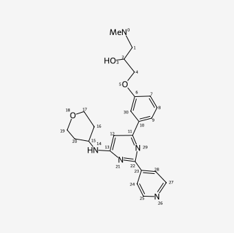 CNCC(O)COc1cccc(-c2cc(NC3CCOCC3)nc(-c3ccncc3)n2)c1